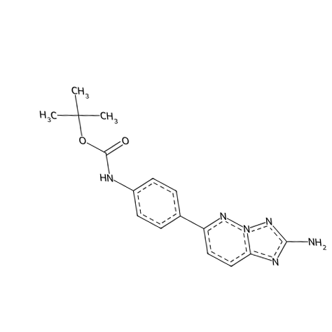 CC(C)(C)OC(=O)Nc1ccc(-c2ccc3nc(N)nn3n2)cc1